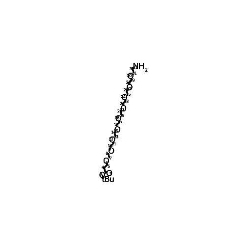 CC(C)(C)OC(=O)CCOCCOCCOCCOCCOCCOCCOCCOCCOCCN